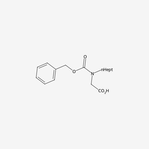 CCCCCCCN(CC(=O)O)C(=O)OCc1ccccc1